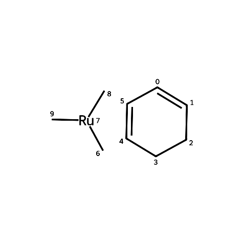 C1=CCCC=C1.[CH3][Ru]([CH3])[CH3]